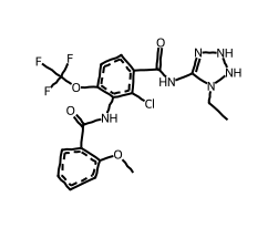 CCN1NNN=C1NC(=O)c1ccc(OC(F)(F)F)c(NC(=O)c2ccccc2OC)c1Cl